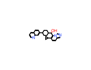 OC(c1c(C2CC2)ccc2cncn12)C1CCC(c2ccc3cccnc3c2)CC1